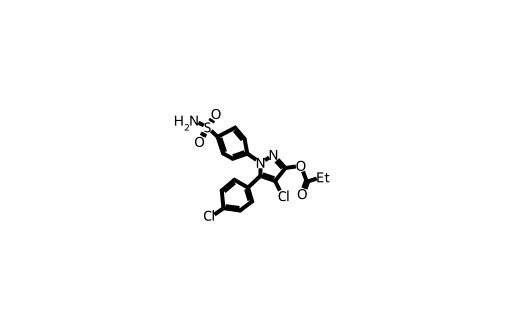 CCC(=O)Oc1nn(-c2ccc(S(N)(=O)=O)cc2)c(-c2ccc(Cl)cc2)c1Cl